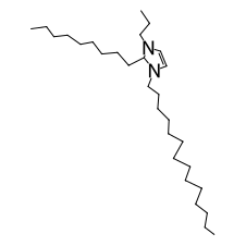 CCCCCCCCCCCCCCN1C=CN(CCC)C1CCCCCCCCC